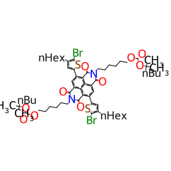 CCCCCCc1cc(-c2cc3c4c(c(-c5cc(CCCCCC)c(Br)s5)cc5c4c2C(=O)N(CCCCCCOC(=O)OC(C)(C)CCCC)C5=O)C(=O)N(CCCCCCOC(=O)OC(C)(C)CCCC)C3=O)sc1Br